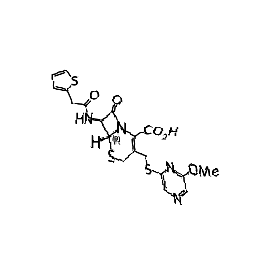 COc1cncc(SCC2=C(C(=O)O)N3C(=O)C(NC(=O)Cc4cccs4)[C@H]3SC2)n1